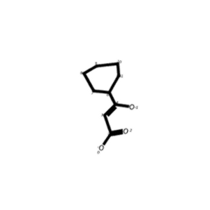 [O]C(=O)C=C([O])C1CCCCC1